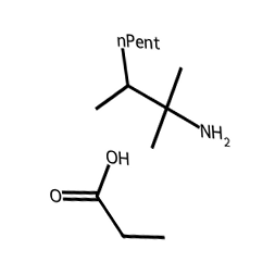 CCC(=O)O.CCCCCC(C)C(C)(C)N